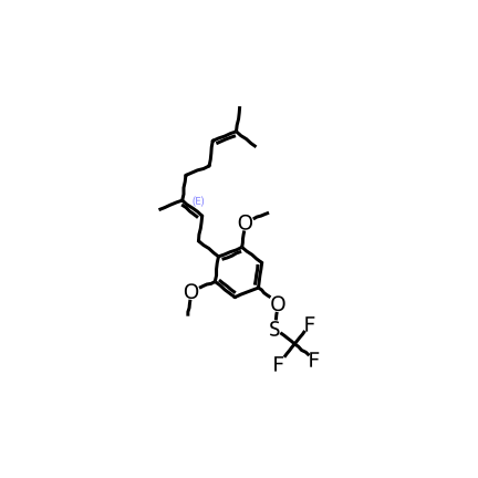 COc1cc(OSC(F)(F)F)cc(OC)c1C/C=C(\C)CCC=C(C)C